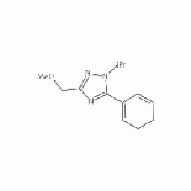 COCc1nc(C2=CCCC=C2)n(C(C)C)n1